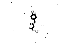 CCOC(=O)C(C)CNCc1ccc(C(F)(F)F)cc1